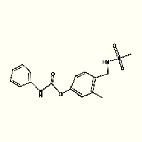 Cc1cc(OC(=O)Nc2ccccc2)ccc1CNS(C)(=O)=O